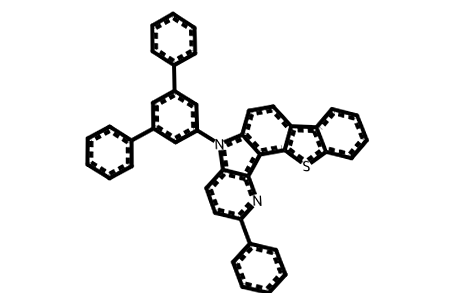 c1ccc(-c2cc(-c3ccccc3)cc(-n3c4ccc(-c5ccccc5)nc4c4c5sc6ccccc6c5ccc43)c2)cc1